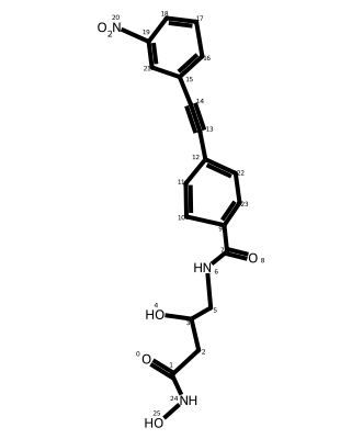 O=C(CC(O)CNC(=O)c1ccc(C#Cc2cccc([N+](=O)[O-])c2)cc1)NO